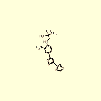 CC(C)(O)CNc1ccc(-c2nc(-c3cocn3)no2)cc1N